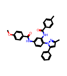 COc1ccc(C(=O)Nc2ccc(-n3nc(C)cc3-c3ccccc3)c(NC(=O)c3ccc(C)cc3)c2)cc1